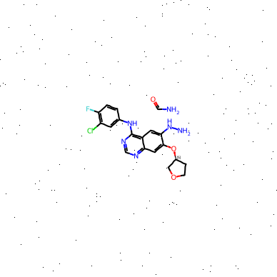 NC=O.NNc1cc2c(Nc3ccc(F)c(Cl)c3)ncnc2cc1O[C@H]1CCOC1